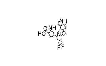 CNc1cc(C2CC3(CCN2Cc2c(OC)cc(C)c4[nH]ccc24)CC(F)(F)C3)ccc1C(=O)O